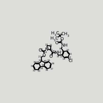 CC(C)(C)OC(=O)NCc1ccc(Cl)cc1CNC(=O)C1CCN1C(=O)OCC1c2ccccc2-c2ccccc21